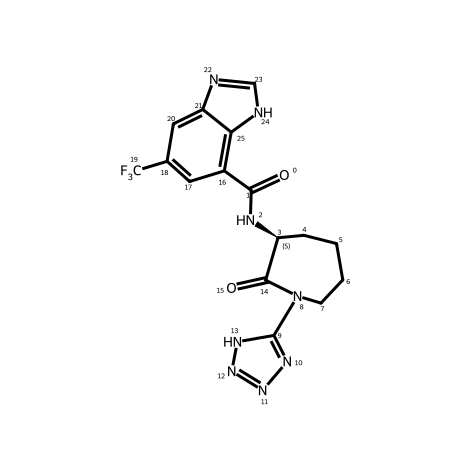 O=C(N[C@H]1CCCCN(c2nnn[nH]2)C1=O)c1cc(C(F)(F)F)cc2nc[nH]c12